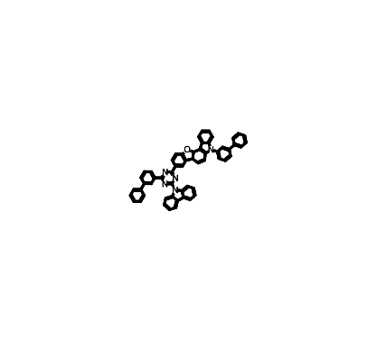 C1=CC2c3cc(-c4nc(-c5cccc(-c6ccccc6)c5)nc(-n5c6ccccc6c6ccccc65)n4)ccc3OC2c2c1n(-c1cccc(-c3ccccc3)c1)c1ccccc21